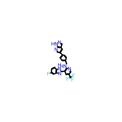 Fc1ccc2[nH]c(-c3cc(C(F)(F)F)cnc3NCc3ccc(-c4cnc5[nH]ncc5c4)cc3)nc2c1